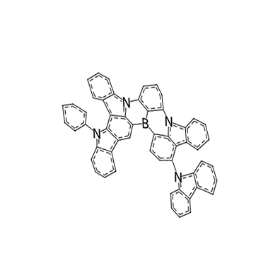 c1ccc(-n2c3ccccc3c3cc4c5c(c6ccccc6n5-c5cccc6c5B4c4ccc(-n5c7ccccc7c7ccccc75)c5c7ccccc7n-6c45)c32)cc1